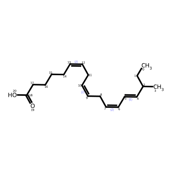 CCC(C)/C=C/C=C\C/C=C\C/C=C\CCCCC(=O)O